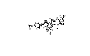 CCn1c(=O)c(C(F)(F)F)cc2c1nc(-c1ncc(-c3ccc(C4CC4)cc3)cc1S(=O)(=O)CC)n2C